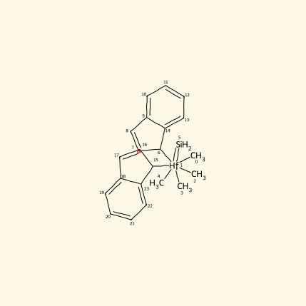 [CH3][Hf]([CH3])([CH3])([CH3])(=[SiH2])([CH]1C=Cc2ccccc21)[CH]1C=Cc2ccccc21